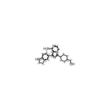 Nc1nccn2c(C3CCC(CO)CC3)nc(-c3ccc4c(c3)CCN4)c12